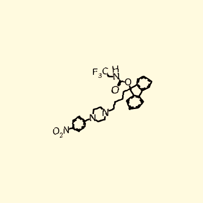 O=C(NCC(F)(F)F)OC1(CCCCN2CCN(c3ccc([N+](=O)[O-])cc3)CC2)c2ccccc2-c2ccccc21